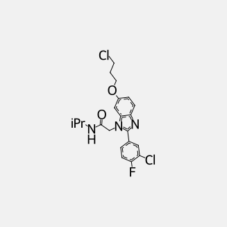 CC(C)NC(=O)Cn1c(-c2ccc(F)c(Cl)c2)nc2ccc(OCCCCl)cc21